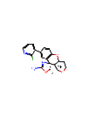 C[C@H]1OCCC2Oc3ccc(-c4cccnc4F)cc3[C@@]3(COC(N)=N3)[C@@H]21